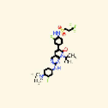 CC(C)n1c(=O)c(-c2ccc(NS(=O)(=O)CCC(F)(F)F)c(F)c2)cc2cnc(NC3CCC(N(C)C)C(F)C3)nc21